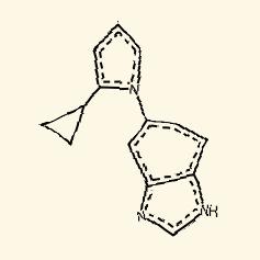 [c]1cc(C2CC2)n(-c2ccc3[nH]cnc3c2)c1